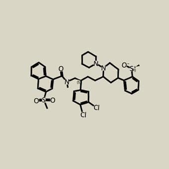 CN(C[C@@H](CCC1CC(c2ccccc2[S@+](C)[O-])CCN1N1CCCCC1)c1ccc(Cl)c(Cl)c1)C(=O)c1cc(S(C)(=O)=O)cc2ccccc12